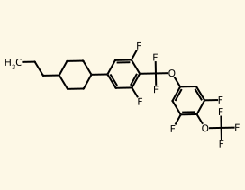 CCCC1CCC(c2cc(F)c(C(F)(F)Oc3cc(F)c(OC(F)(F)F)c(F)c3)c(F)c2)CC1